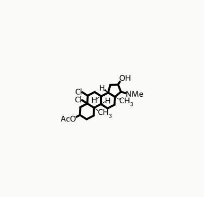 CNC1C(O)C[C@H]2[C@@H]3CC(Cl)C4(Cl)CC(OC(C)=O)CC[C@]4(C)[C@@H]3CC[C@]12C